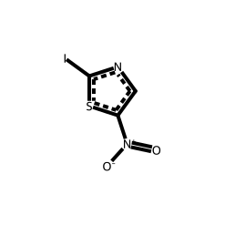 O=[N+]([O-])c1cnc(I)s1